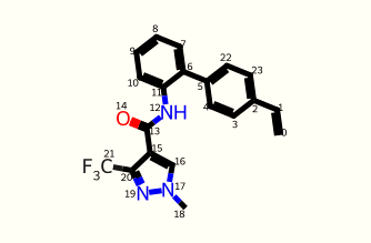 C=Cc1ccc(-c2ccccc2NC(=O)c2cn(C)nc2C(F)(F)F)cc1